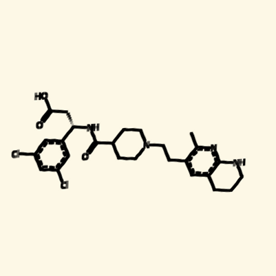 Cc1nc2c(cc1CCN1CCC(C(=O)N[C@@H](CC(=O)O)c3cc(Cl)cc(Cl)c3)CC1)CCCN2